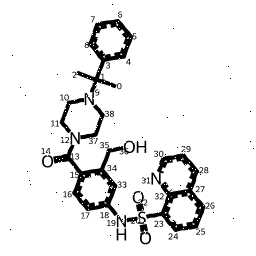 CC(C)(c1ccccc1)N1CCN(C(=O)c2ccc(NS(=O)(=O)c3cccc4cccnc34)cc2CO)CC1